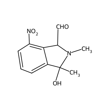 CN1C(C=O)c2c([N+](=O)[O-])cccc2C1(C)O